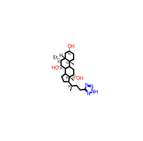 CC[C@H]1[C@@H](O)C2C3CCC([C@H](C)CCc4nn[nH]n4)[C@@]3(C)[C@@H](O)CC2[C@@]2(C)CC[C@@H](O)C[C@@H]12